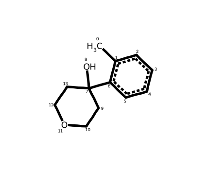 Cc1ccccc1C1(O)CCOCC1